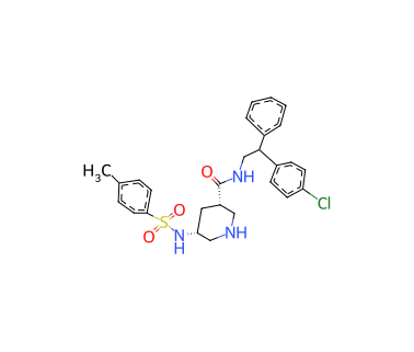 Cc1ccc(S(=O)(=O)N[C@H]2CNC[C@@H](C(=O)NCC(c3ccccc3)c3ccc(Cl)cc3)C2)cc1